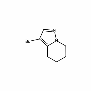 CCC(C)c1cnn2c1CCCC2